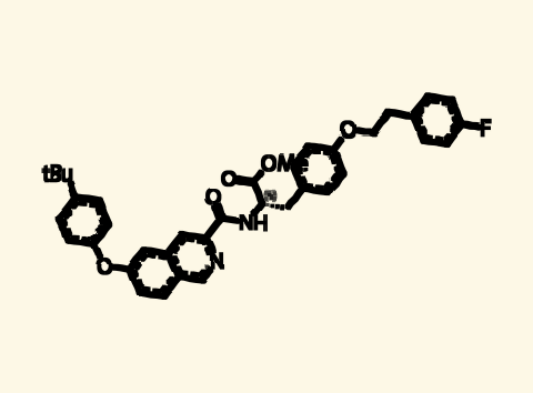 COC(=O)[C@H](Cc1ccc(OCCc2ccc(F)cc2)cc1)NC(=O)c1cc2cc(Oc3ccc(C(C)(C)C)cc3)ccc2cn1